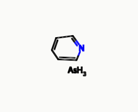 [AsH3].c1ccncc1